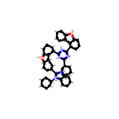 c1ccc(-c2nc(-c3cccc4oc5ccccc5c34)nc(-c3cccc4oc5ccc(-c6nc7ccccc7n6-c6ccccc6)cc5c34)n2)cc1